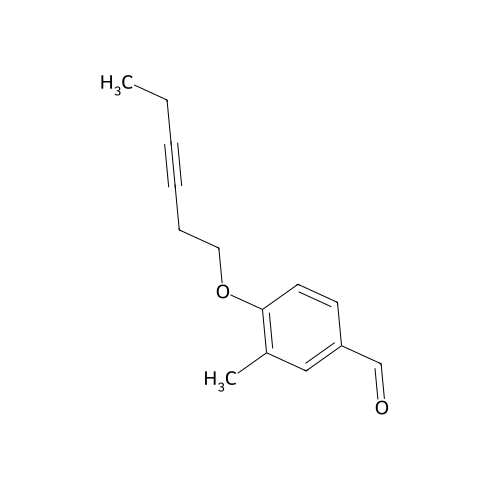 CCC#CCCOc1ccc(C=O)cc1C